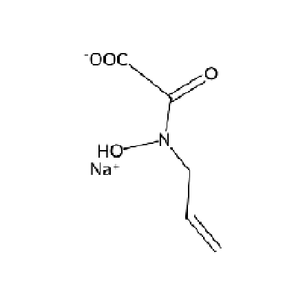 C=CCN(O)C(=O)C(=O)[O-].[Na+]